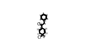 O=C(Cc1ccccc1)C1=CCC(F)(Cl)C=C1